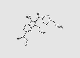 CCOC(=N)c1ccc2c(N)c(C(=O)N3CCC(CCN)CC3)n(CCC(C)C)c2c1